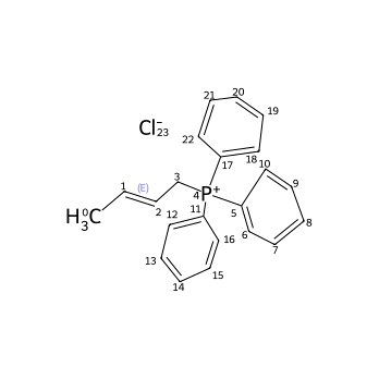 C/C=C/C[P+](c1ccccc1)(c1ccccc1)c1ccccc1.[Cl-]